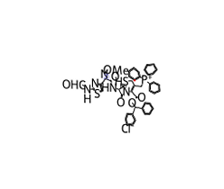 CO/N=C(\C(=O)NC1C(=O)N2C(C(=O)OC(c3ccccc3)c3ccccc3)=C(C[P+](c3ccccc3)(c3ccccc3)c3ccccc3)CS[C@H]12)c1csc(NC=O)n1.[Cl-]